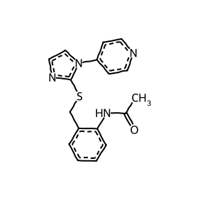 CC(=O)Nc1ccccc1CSc1nccn1-c1ccncc1